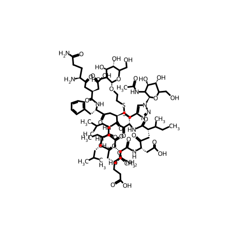 CCC(C)[C@H](CC(=O)[C@H](CC(=O)O)NC(=O)[C@@H](CC(=O)[C@@H](NC(=O)[C@H](CCc1cn([C@@H]2OC(CO)[C@@H](O)[C@H](O)C2NC(C)=O)nn1)CC(=O)[C@H](Cc1ccccc1)NC(=O)[C@H](CC(=O)O)CC(=O)[C@@H](N)CCC(N)=O)C(C)CC)C(C)O)C(=O)N[C@@H](CSSCCO[C@H]1OC(CO)[C@@H](O)[C@H](O)C1O)C(=O)C[C@@H](CC(C)C)C(=O)N[C@@H](CC(C)C)C(=O)C[C@@H](CCC(=O)O)C(N)=O